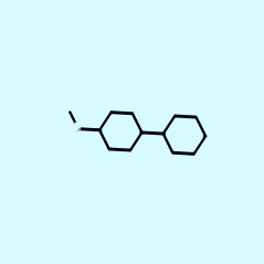 C[SiH2]C1CCC(C2CCCCC2)CC1